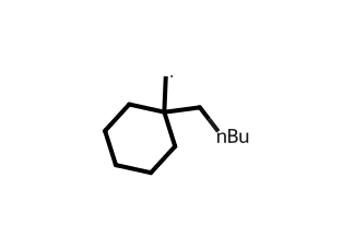 [CH2]C1(CCCCC)CCCCC1